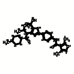 Cc1noc(C)c1C(=O)Nc1ccc(-c2cc(N(C(=O)[C@H]3CC[C@H](C)CC3)C(C)C)c(C(=O)O)s2)cc1